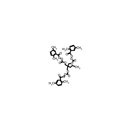 CCCC(COC(=O)OOC(=O)c1cc(C)ccc1C)(COC(=O)OOC(=O)c1cc(C)ccc1C)COC(=O)OOC(=O)c1cc(C)ccc1C